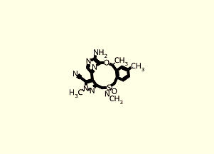 CN=S1(=O)Cc2ccc(C)cc2[C@@H](C)Oc2nc(cnc2N)-c2c(nn(C)c2C#N)C1